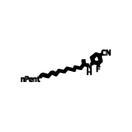 C=C(CCCCCC/C=C/C=C/CCCCC)Nc1ccc(C#N)cc1F